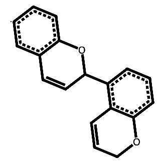 [c]1ccc2c(c1)C=CC(c1cccc3c1C=CCO3)O2